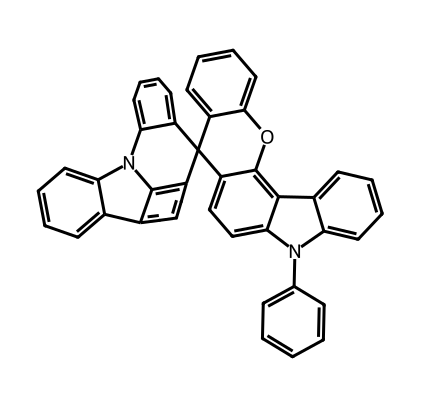 c1ccc(-n2c3ccccc3c3c4c(ccc32)C2(c3ccccc3O4)c3ccccc3-n3c4ccccc4c4cccc2c43)cc1